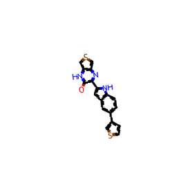 O=c1[nH]c2cscc2nc1-c1cc2cc(-c3ccsc3)ccc2[nH]1